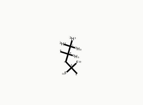 [2H]C([2H])([2H])C([2H])(C)CC(C)(F)F